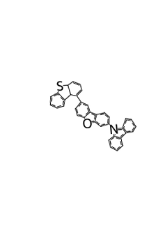 C1=CC2Sc3ccccc3C2C(c2ccc3oc4cc(-n5c6ccccc6c6ccccc65)ccc4c3c2)=C1